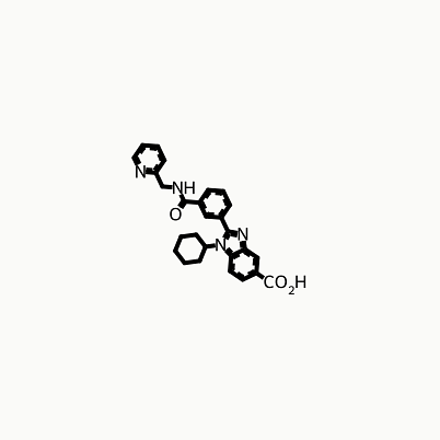 O=C(O)c1ccc2c(c1)nc(-c1cccc(C(=O)NCc3ccccn3)c1)n2C1CCCCC1